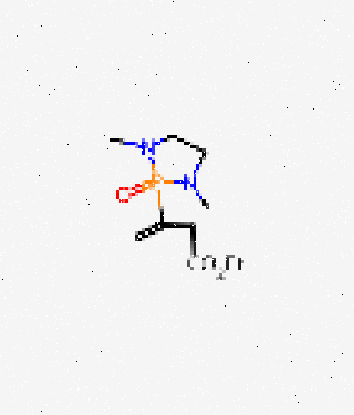 C=C(CC(=O)OCC)P1(=O)N(C)CCN1C